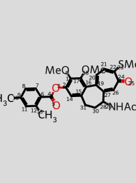 COc1c(OC(=O)c2ccc(C)cc2C)cc2c(c1OC)-c1ccc(SC)c(=O)cc1C(NC(C)=O)CC2